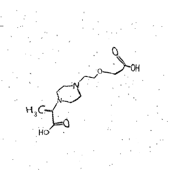 CC(C(=O)O)N1CCN(CCOCC(=O)O)CC1